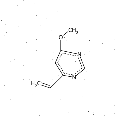 C=Cc1cc(OC)ncn1